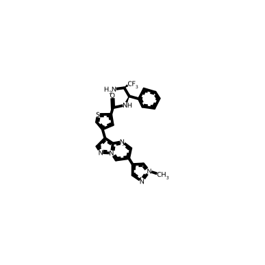 Cn1cc(-c2cnc3c(-c4csc(C(=O)N[C@H](c5ccccc5)[C@@H](N)C(F)(F)F)c4)cnn3c2)cn1